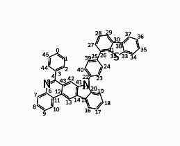 c1ccc(-c2nc3ccccc3c3cc4c5ccccc5n(-c5ccc(-c6cccc7c6sc6ccccc67)cc5)c4cc23)cc1